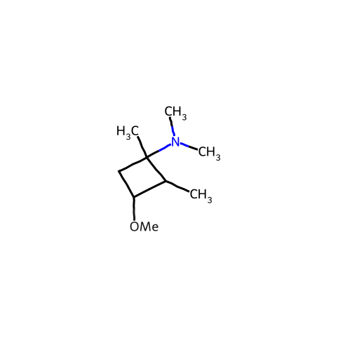 COC1CC(C)(N(C)C)C1C